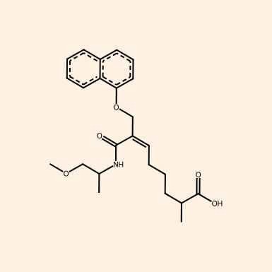 COCC(C)NC(=O)C(=CCCCC(C)C(=O)O)COc1cccc2ccccc12